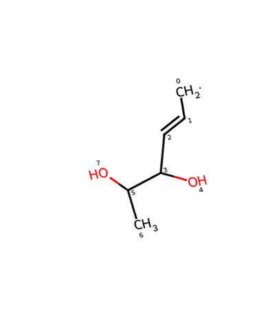 [CH2]/C=C/C(O)C(C)O